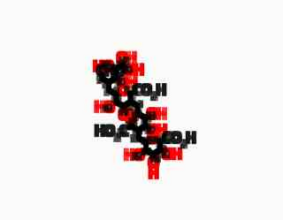 O=CCC(CC1OC(C(=O)O)C(CC2OC(C(=O)O)C(CC3OC(C(=O)O)C(O)C(O)C3O)C(O)C2O)C(O)C1O)C(O)C(O)C(O)O